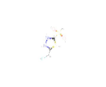 CS(=O)(=O)c1nnc(CF)s1